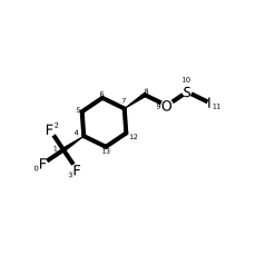 FC(F)(F)[C@H]1CC[C@@H](COSI)CC1